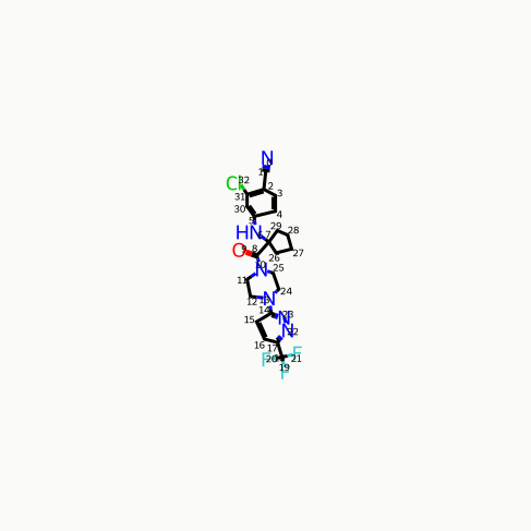 N#Cc1ccc(NC2(C(=O)N3CCN(c4ccc(C(F)(F)F)nn4)CC3)CCCC2)cc1Cl